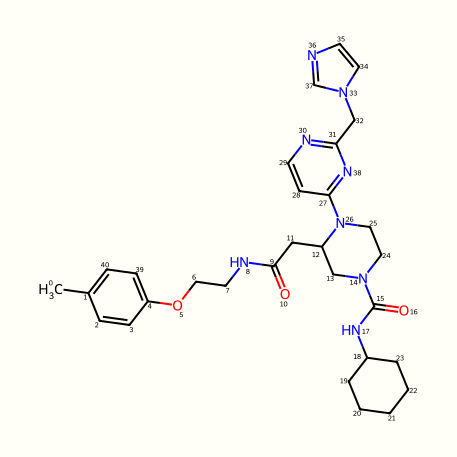 Cc1ccc(OCCNC(=O)CC2CN(C(=O)NC3CCCCC3)CCN2c2ccnc(Cn3ccnc3)n2)cc1